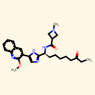 CCC(=O)CCCCC[C@H](NC(=O)C1CN(C)C1)C1=[N+]C=C(c2cc3ccccc3nc2OC)N1